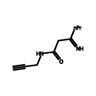 C#CCNC(=O)CC(=N)CCC